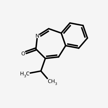 CC(C)c1cc2ccccc2cnc1=O